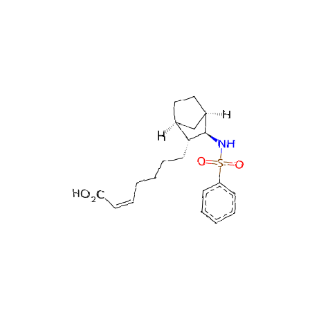 O=C(O)/C=C\CCCC[C@@H]1[C@H]2CC[C@H](C2)[C@H]1NS(=O)(=O)c1ccccc1